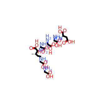 CC[C@H](C)[C@H](N)C(=O)O.NCC(=O)O.NCC(=O)O.NCC(=O)O.NCC(=O)O.NCC(=O)O.N[C@@H](CC(=O)O)C(=O)O